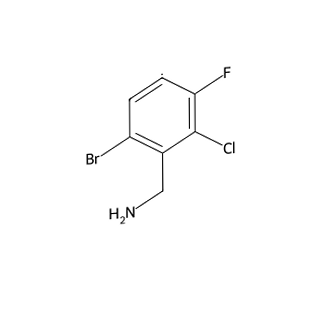 NCc1c(Br)c[c]c(F)c1Cl